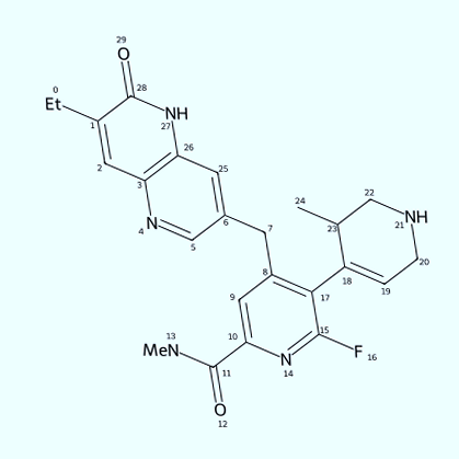 CCc1cc2ncc(Cc3cc(C(=O)NC)nc(F)c3C3=CCNCC3C)cc2[nH]c1=O